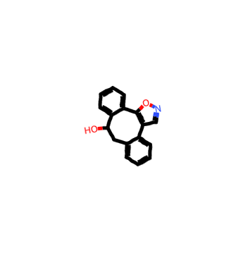 OC1Cc2ccccc2-c2cnoc2-c2ccccc21